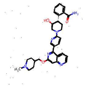 CN1CCC(COc2cc3ncccc3c(-c3ccc(N4CC[C@@H](c5ccccc5C(N)=O)[C@H](O)C4)nc3)n2)CC1